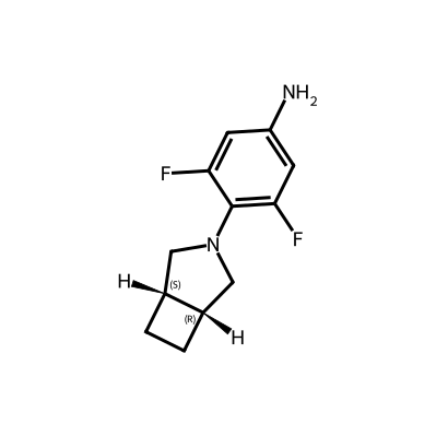 Nc1cc(F)c(N2C[C@H]3CC[C@H]3C2)c(F)c1